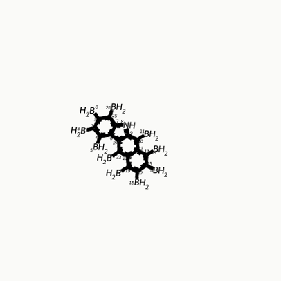 Bc1c(B)c(B)c2c([nH]c3c(B)c4c(B)c(B)c(B)c(B)c4c(B)c32)c1B